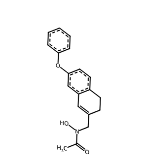 CC(=O)N(O)CC1=Cc2cc(Oc3ccccc3)ccc2CC1